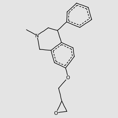 CN1Cc2cc(OCC3CO3)ccc2C(c2ccccc2)C1